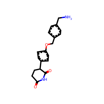 NCc1ccc(COc2ccc(C3CCC(=O)NC3=O)cc2)cc1